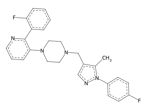 Cc1c(CN2CCN(c3cccnc3-c3ccccc3F)CC2)cnn1-c1ccc(F)cc1